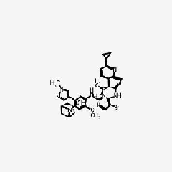 COc1cc(N2C3CC2CN(C)C3)c(-c2cnn(C)c2)cc1Nc1ncc(Br)c(Nc2ccc3nc(C4CC4)ccc3c2P(C)C)n1